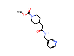 CC(C)(C)OC(=O)N1CCC(CC(=O)NCc2cccnc2)CC1